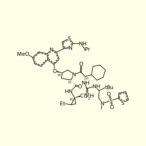 CCC1C[C@]1(NC(=O)[C@@H]1C[C@@H](Oc2cc(-c3csc(NC(C)C)n3)nc3cc(OC)ccc23)CN1C(=O)[C@@H](NC(=O)NC(CN(C)S(=O)(=O)c1cccs1)C(C)(C)C)C1CCCCC1)C(=O)O